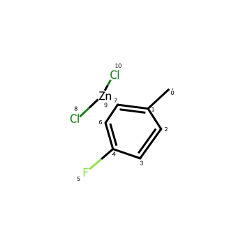 [CH2]c1ccc(F)cc1.[Cl][Zn][Cl]